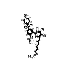 CCCCCCCCc1nc(-c2cc(S(=O)(=O)N3CCN(C)CC3)ccc2OCC)[nH]c(=O)c1Br